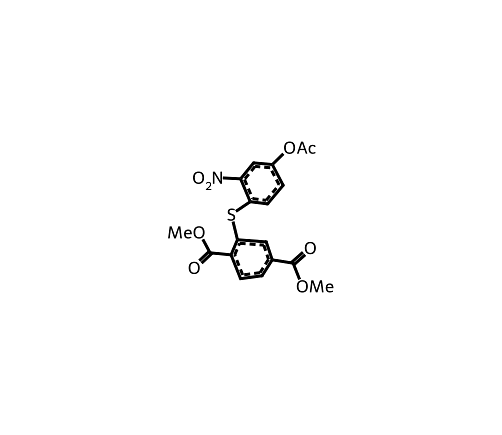 COC(=O)c1ccc(C(=O)OC)c(Sc2ccc(OC(C)=O)cc2[N+](=O)[O-])c1